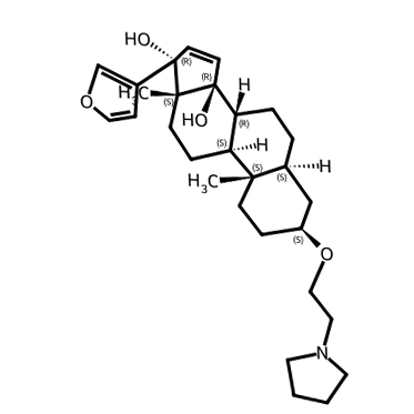 C[C@]12CC[C@H](OCCN3CCCC3)C[C@@H]1CC[C@@H]1[C@@H]2CC[C@]2(C)[C@@](O)(c3ccoc3)C=C[C@]12O